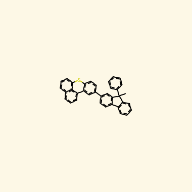 CC1(c2ccccc2)c2ccccc2-c2ccc(-c3ccc4c(c3)-c3cccc5cccc(c35)S4)cc21